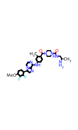 COc1ccc(-c2cnc3c(Nc4ccc(C(=O)N5CCN(C(=O)NC[C@H](C)N)CC5)c(C)c4)nccn23)c(F)c1F